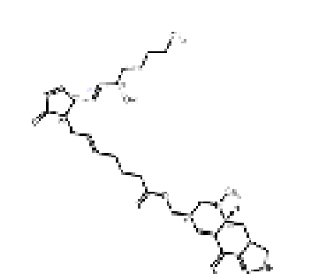 CCCCC[C@H](O)/C=C/[C@H]1C=CC(=O)[C@@H]1CC=CCCCC(=O)OC[C@@H]1C=C2c3cccc4c3C(CN4)C[C@H]2N(C)C1